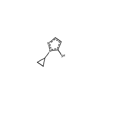 Sc1ccnn1C1CC1